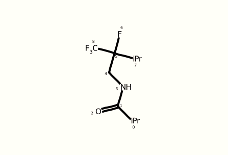 CC(C)C(=O)NCC(F)(C(C)C)C(F)(F)F